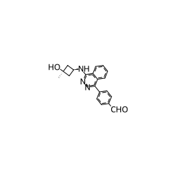 C[C@]1(O)C[C@@H](Nc2nnc(-c3ccc(C=O)cc3)c3ccccc23)C1